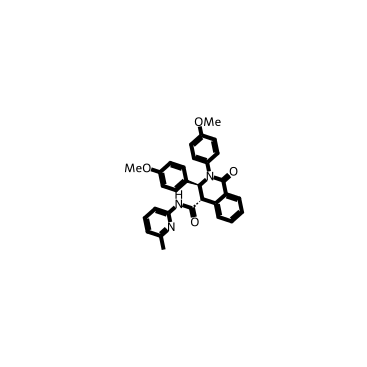 COc1ccc([C@@H]2[C@@H](C(=O)Nc3cccc(C)n3)c3ccccc3C(=O)N2c2ccc(OC)cc2)cc1